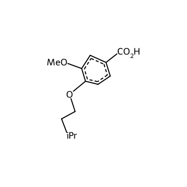 COc1cc(C(=O)O)ccc1OCCC(C)C